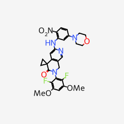 COc1cc(OC)c(F)c(N2Cc3cnc(Nc4cc(N5CCOCC5)ccc4[N+](=O)[O-])cc3C3(CC3)C2=O)c1F